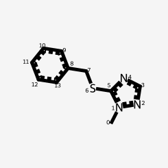 Cn1ncnc1SCc1ccccc1